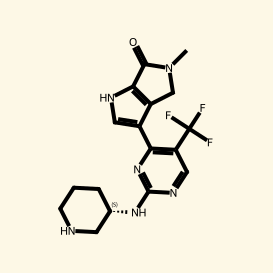 CN1Cc2c(-c3nc(N[C@H]4CCCNC4)ncc3C(F)(F)F)c[nH]c2C1=O